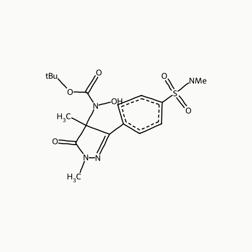 CNS(=O)(=O)c1ccc(C2=NN(C)C(=O)C2(C)N(O)C(=O)OC(C)(C)C)cc1